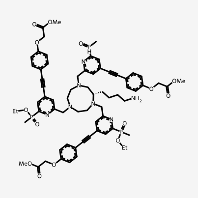 CCOP(C)(=O)c1cc(C#Cc2ccc(OCC(=O)OC)cc2)cc(CN2CCN(Cc3cc(C#Cc4ccc(OCC(=O)OC)cc4)cc([PH](C)=O)n3)C[C@H](CCCCN)N(Cc3cc(C#Cc4ccc(OCC(=O)OC)cc4)cc(P(C)(=O)OCC)n3)CC2)n1